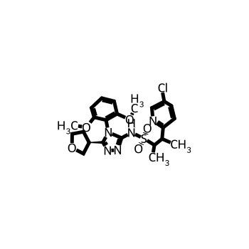 COc1cccc(OC)c1-n1c(NS(=O)(=O)C(C)C(C)c2ccc(Cl)cn2)nnc1[C@@H]1CCOC1